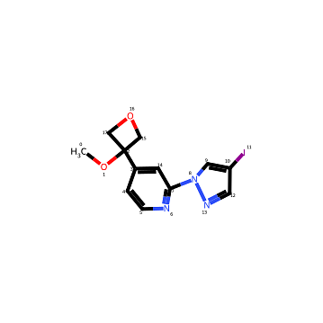 COC1(c2ccnc(-n3cc(I)cn3)c2)COC1